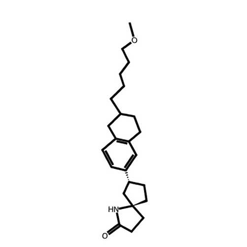 COCCCCCC1CCc2cc([C@@H]3CC[C@]4(CCC(=O)N4)C3)ccc2C1